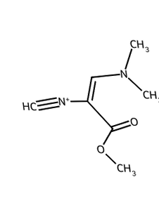 C#[N+]C(=CN(C)C)C(=O)OC